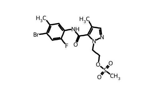 Cc1cc(NC(=O)c2c(C)cnn2CCOS(C)(=O)=O)c(F)cc1Br